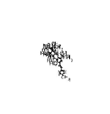 Cc1ccc(C#Cc2cc(N(C)C)c3c(c2O)C(O)=C2C(=O)[C@]4(O)C(O)=C(C(N)=O)C(=O)[C@@H](N(C)C)[C@@H]4C[C@@H]2C3)cc1